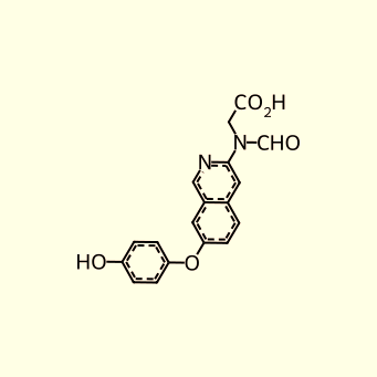 O=CN(CC(=O)O)c1cc2ccc(Oc3ccc(O)cc3)cc2cn1